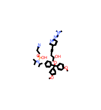 CC(C)N(C(C)C)P(O)OCCC#N.COc1ccc(C(OC[C@@H](O)CC#Cc2ccc(N=CN(C)C)nc2)(c2ccccc2)c2ccc(OC)cc2)cc1